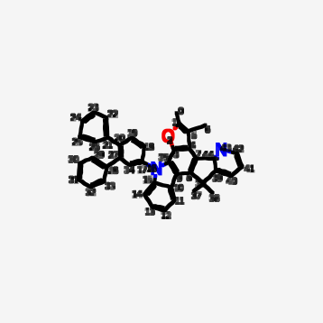 Cc1oc2c(c1C)c1c(c3c4ccccc4n(-c4ccc(-c5ccccc5)c(-c5ccccc5)c4)c23)C(C)(C)c2cccnc2-1